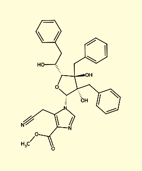 COC(=O)c1ncn([C@@H]2O[C@H](C(O)Cc3ccccc3)[C@](O)(Cc3ccccc3)[C@@]2(O)Cc2ccccc2)c1CC#N